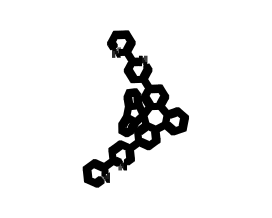 c1ccc(-c2ccc(-c3ccc4c(c3)C3(c5cc(-c6ccc(-c7ccccn7)nc6)ccc5-c5ccccc5-4)c4ccccc4-c4ccccc43)cn2)nc1